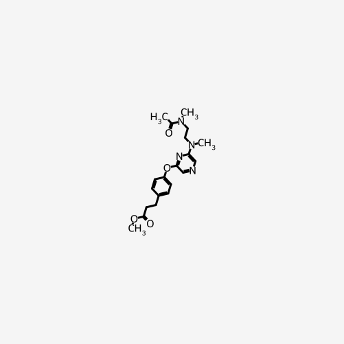 COC(=O)CCc1ccc(Oc2cncc(N(C)CCN(C)C(C)=O)n2)cc1